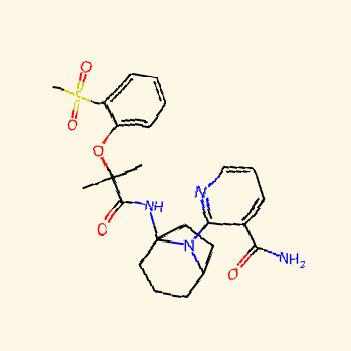 CC(C)(Oc1ccccc1S(C)(=O)=O)C(=O)NC12CCCC(CC1)N2c1ncccc1C(N)=O